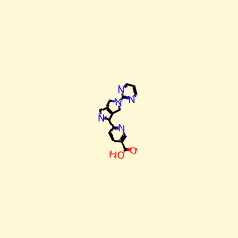 O=C(O)c1ccc(C2=NCC3=C2CN(c2ncccn2)C3)nc1